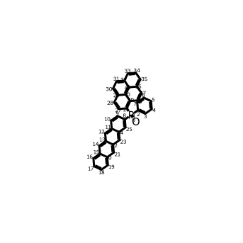 O=P(c1ccccc1)(c1ccc2cc3cc4ccccc4cc3cc2c1)c1ccc2ccc3cccc4ccc1c2c34